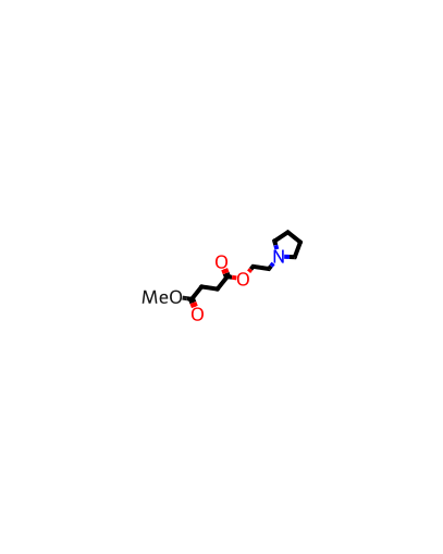 COC(=O)CCC(=O)OCCN1CCCC1